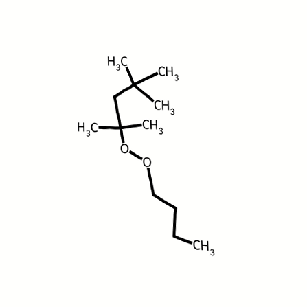 CCCCOOC(C)(C)CC(C)(C)C